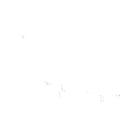 COCCNC(=O)COCCOCCNC(=O)CC[C@H](NC(=O)CCCCCCCCCCC(=O)O)C(=O)O